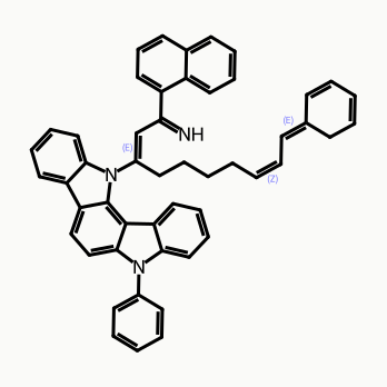 N=C(/C=C(\CCCC/C=C\C=C1\C=CC=CC1)n1c2ccccc2c2ccc3c(c4ccccc4n3-c3ccccc3)c21)c1cccc2ccccc12